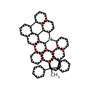 CC1(c2ccccc2)c2ccccc2-c2c(-c3ccccc3N(c3ccccc3-c3cccc4cccc(-c5ccccc5)c34)c3ccccc3-c3cccc4cccc(-c5ccccc5)c34)cccc21